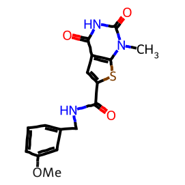 COc1cccc(CNC(=O)c2cc3c(=O)[nH]c(=O)n(C)c3s2)c1